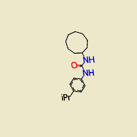 CC(C)c1ccc(NC(=O)NC2CCCCCCCC2)cc1